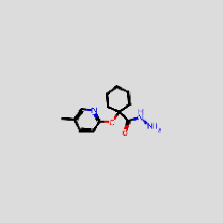 Cc1ccc(OC2(C(=O)NN)CCCCC2)nc1